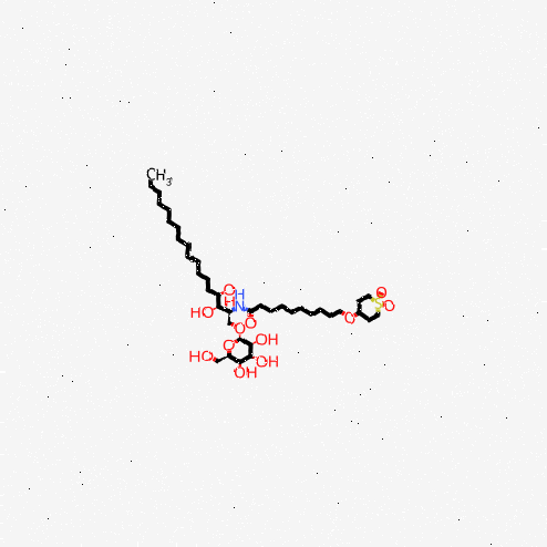 CCCCCCCCCCCCCC[C@@H](O)[C@@H](O)[C@H](CO[C@H]1O[C@H](CO)[C@H](O)[C@H](O)[C@H]1O)NC(=O)CCCCCCCCCOC1CCS(=O)(=O)CC1